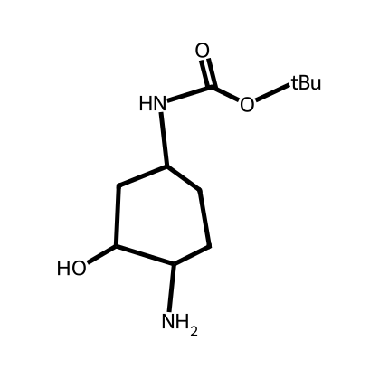 CC(C)(C)OC(=O)NC1CCC(N)C(O)C1